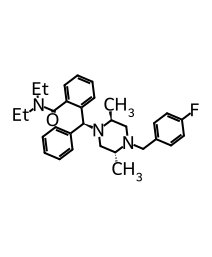 CCN(CC)C(=O)c1ccccc1[C@H](c1ccccc1)N1C[C@@H](C)N(Cc2ccc(F)cc2)C[C@@H]1C